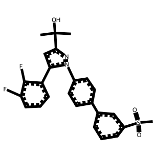 CC(C)(O)c1cc(-c2cccc(F)c2F)n(-c2ccc(-c3cccc(S(C)(=O)=O)c3)cc2)n1